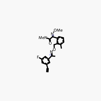 C#Cc1cc(F)cc(/C(C)=N/OCc2c(C)cccc2/C(=N\OC)C(=O)NC)c1